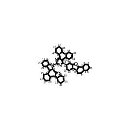 c1ccc2c(c1)ccc1c3ccc(-c4nc(-n5c6ccccc6c6c7ccccc7c7c8ccccc8sc7c65)nc5c6ccccc6c6ccccc6c45)cc3oc21